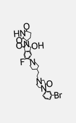 O=C1CCC(N2C(=O)c3cc(F)c(N4CCC(CCN5CCN(c6cccc(Br)c6)C(=O)C5)CC4)cc3C2O)C(=O)N1